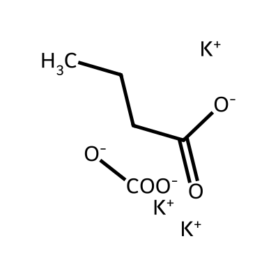 CCCC(=O)[O-].O=C([O-])[O-].[K+].[K+].[K+]